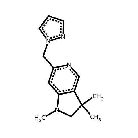 CN1CC(C)(C)c2cnc(Cn3cccn3)cc21